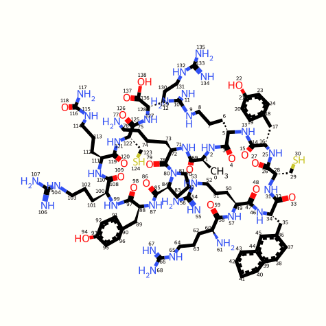 C[C@H](NC(=O)[C@H](CCCNC(=N)N)NC(=O)[C@H](Cc1ccc(O)cc1)NC(=O)[C@H](CS)NC(=O)[C@H](Cc1ccc2ccccc2c1)NC(=O)[C@H](CCCNC(=N)N)NC(=O)[C@@H](N)CCCNC(=N)N)C(=O)N[C@H](CCCCN)C(=O)N1CCC[C@H]1C(=O)N[C@@H](Cc1ccc(O)cc1)C(=O)N[C@@H](CCCNC(=N)N)C(=O)N[C@@H](CCCNC(N)=O)C(=O)N[C@@H](CS)C(=O)N[C@@H](CCCNC(=N)N)C(=O)O